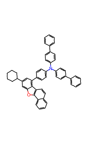 c1ccc(-c2ccc(N(c3ccc(-c4ccccc4)cc3)c3ccc(-c4cc(C5CCCCC5)cc5oc6c7ccccc7ccc6c45)cc3)cc2)cc1